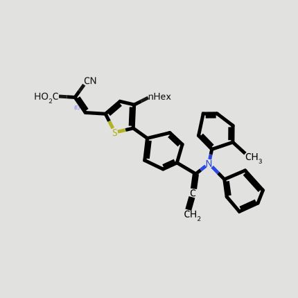 C=C=C(c1ccc(-c2sc(/C=C(\C#N)C(=O)O)cc2CCCCCC)cc1)N(c1ccccc1)c1ccccc1C